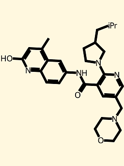 Cc1cc(O)nc2ccc(NC(=O)c3cc(CN4CCOCC4)cnc3N3CCC(CC(C)C)C3)cc12